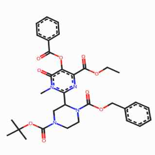 CCOC(=O)c1nc(C2CN(C(=O)OC(C)(C)C)CCN2C(=O)OCc2ccccc2)n(C)c(=O)c1OC(=O)c1ccccc1